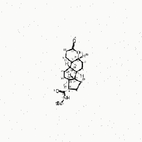 CC(C)(C)NC(=O)[C@H]1CC[C@H]2[C@@H]3CC[C@H]4OC(=O)CC[C@]4(C)[C@H]3CC[C@]12C